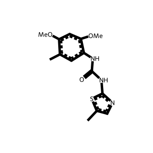 COc1cc(OC)c(NC(=O)Nc2ncc(C)s2)cc1C